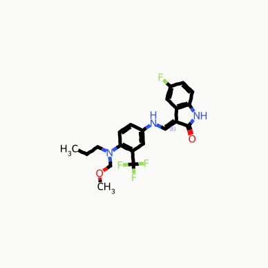 CCCN(COC)c1ccc(N/C=C2/C(=O)Nc3ccc(F)cc32)cc1C(F)(F)F